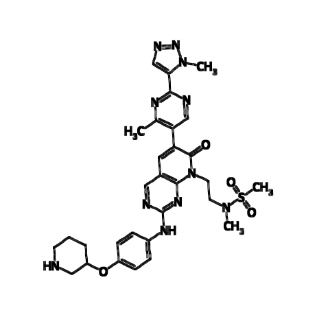 Cc1nc(-c2cnnn2C)ncc1-c1cc2cnc(Nc3ccc(OC4CCCNC4)cc3)nc2n(CCN(C)S(C)(=O)=O)c1=O